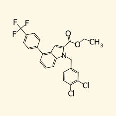 CCOC(=O)c1cc2c(-c3ccc(C(F)(F)F)cc3)cccc2n1Cc1ccc(Cl)c(Cl)c1